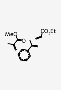 C=C(C)C(=O)OC.C=C(C)c1ccccc1.C=CC(=O)OCC